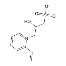 C=Cc1cccc[n+]1CC(O)CS(=O)(=O)[O-]